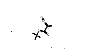 CC(=C=O)C(=O)OC(C)(C)C